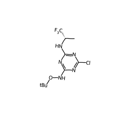 C[C@H](Nc1nc(Cl)nc(NOC(C)(C)C)n1)C(F)(F)F